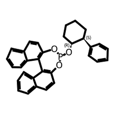 c1ccc([C@@H]2CCCC[C@H]2Op2oc3ccc4ccccc4c3c3c(ccc4ccccc43)o2)cc1